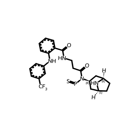 O=C(NCCC(=O)N(P=S)[C@H]1C[C@H]2CC[C@@H](C1)N2)c1ccccc1Nc1cccc(C(F)(F)F)c1